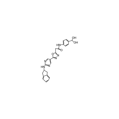 O=C(Cc1nnc(-c2cnc(NC3Cc4ccccc4C3)nc2)o1)Nc1ccc(C(O)O)cc1